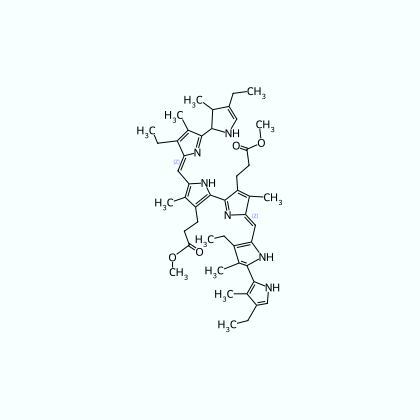 CCC1=CNC(C2=N/C(=C\c3[nH]c(C4=N/C(=C\c5[nH]c(-c6[nH]cc(CC)c6C)c(C)c5CC)C(C)=C4CCC(=O)OC)c(CCC(=O)OC)c3C)C(CC)=C2C)C1C